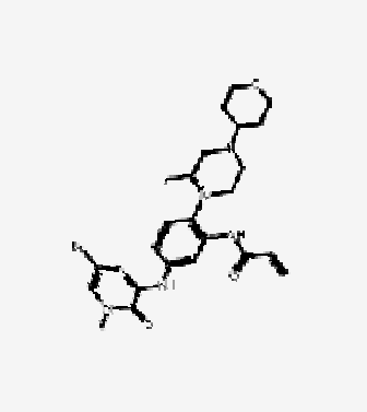 C=CC(=O)Nc1cc(Nc2nc(Br)cn(C)c2=O)ccc1N1CCN(C2CCOCC2)CC1C